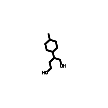 CC1CCC(C(CO)CCO)CC1